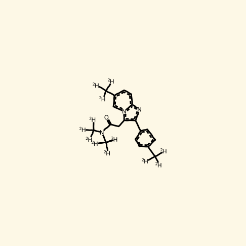 [2H]C([2H])([2H])c1ccc(-c2nc3ccc(C([2H])([2H])[2H])cn3c2CC(=O)N(C([2H])([2H])[2H])C([2H])([2H])[2H])cc1